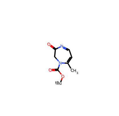 CC1=CC=NC(=O)CN1C(=O)OC(C)(C)C